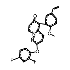 C=Cc1ccc(OC)c(-c2c(=O)ccn3nc(Oc4ccc(F)cc4F)ccc23)c1